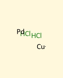 Cl.Cl.[Cu].[Pd]